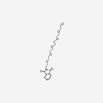 O=C1c2ccccc2C(=O)N1CCOCCOCCOCCOCCOCCCl